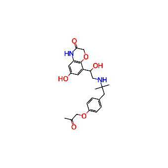 CC(=O)COc1ccc(CC(C)(C)NCC(O)c2cc(O)cc3c2OCC(=O)N3)cc1